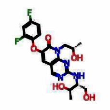 C[C@H](O)Cn1c(=O)c(Oc2ccc(F)cc2F)cc2cnc(N[C@H](CO)[C@@H](C)O)nc21